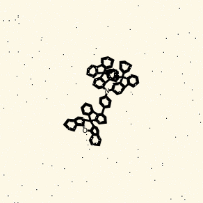 c1ccc(C2(c3ccccc3)c3ccccc3-c3ccc(N(c4ccc(-c5cccc6c5-c5ccccc5C65c6ccc7ccccc7c6Oc6c5ccc5ccccc65)cc4)c4cccc5c4-c4ccccc4C54c5ccccc5-c5ccccc54)cc32)cc1